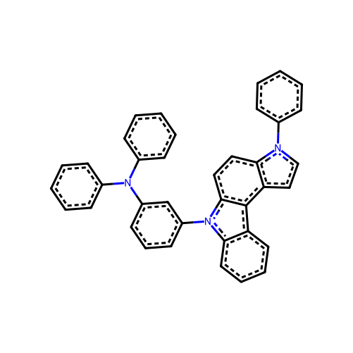 c1ccc(N(c2ccccc2)c2cccc(-n3c4ccccc4c4c5ccn(-c6ccccc6)c5ccc43)c2)cc1